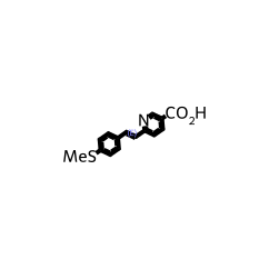 CSc1ccc(/C=C/c2ccc(C(=O)O)cn2)cc1